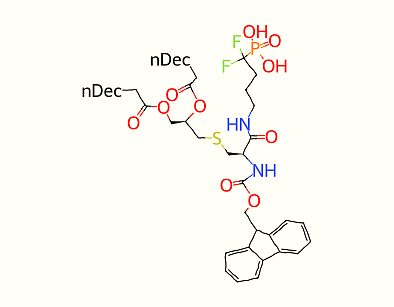 CCCCCCCCCCCC(=O)OC[C@H](CSC[C@H](NC(=O)OCC1c2ccccc2-c2ccccc21)C(=O)NCCCC(F)(F)P(=O)(O)O)OC(=O)CCCCCCCCCCC